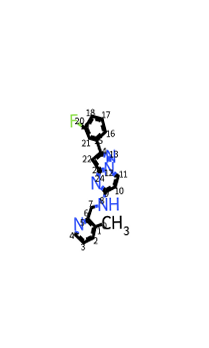 Cc1cccnc1CNc1ccn2nc(-c3cccc(F)c3)cc2n1